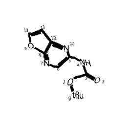 CC(C)(C)OC(=O)Nc1cnc2occc2n1